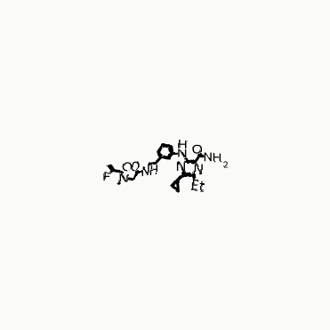 C=C(F)C(=O)N(C)CC(=O)NCCc1cccc(Nc2nc(C3CC3)c(CC)nc2C(N)=O)c1